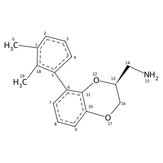 Cc1cccc(-c2cccc3c2O[C@@H](CN)CO3)c1C